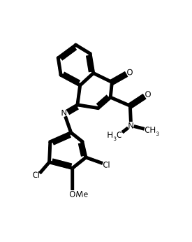 COc1c(Cl)cc(N=C2C=C(C(=O)N(C)C)C(=O)c3ccccc32)cc1Cl